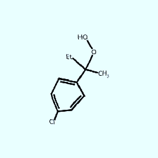 CCC(C)(OO)c1ccc(Cl)cc1